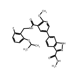 CNC(=O)c1n[nH]c2cc(-c3cnc(OC)c(C(=O)NCc4c(F)cccc4OC(C)C)c3)ccc12